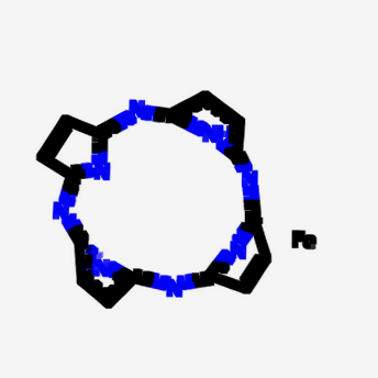 C1=Cc2nc1nc1ccc(nc3nc(nc4ccc(n2)[nH]4)C=C3)[nH]1.[Fe]